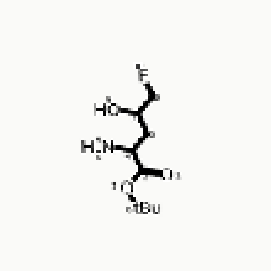 CC(C)(C)OC(=O)C(N)CC(O)CF